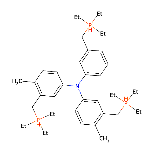 CC[PH](CC)(CC)Cc1cccc(N(c2ccc(C)c(C[PH](CC)(CC)CC)c2)c2ccc(C)c(C[PH](CC)(CC)CC)c2)c1